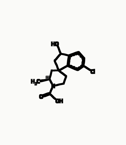 C[C@H]1CC2(CCN1C(=O)O)CC(O)c1ccc(Cl)cc12